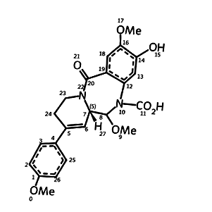 COc1ccc(C2=C[C@H]3C(OC)N(C(=O)O)c4cc(O)c(OC)cc4C(=O)N3CC2)cc1